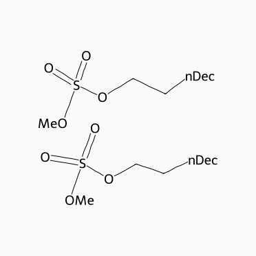 CCCCCCCCCCCCOS(=O)(=O)OC.CCCCCCCCCCCCOS(=O)(=O)OC